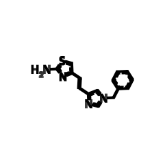 Nc1nc(C=Cc2cn(Cc3ccccc3)cn2)cs1